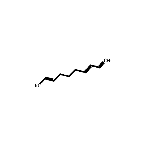 [CH]=CC=CCCCC=CCC